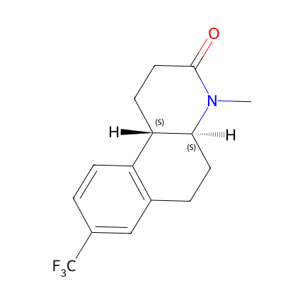 CN1C(=O)CC[C@H]2c3ccc(C(F)(F)F)cc3CC[C@@H]21